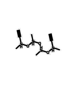 C#C[SiH](C)O[SiH](C)O[SiH](C)O[SiH](C)C#C